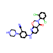 N#Cc1cc(Nc2ccc3c(n2)OCN(c2c(Cl)cccc2Cl)C3=O)ccc1N1CCNCC1